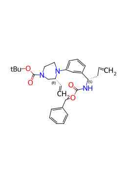 C=CC[C@H](NC(=O)OCc1ccccc1)c1cccc(N2CCN(C(=O)OC(C)(C)C)C[C@H]2C=C)c1